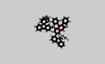 CC1(C)c2ccccc2-c2cccc(-c3cccc(N(c4ccc5c(c4)C4(c6ccccc6-5)C5CC6CC(C5)CC4C6)c4ccccc4-c4cccc5oc6ccccc6c45)c3)c21